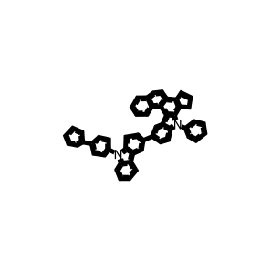 C1=Cc2c(c3c(c4cc(-c5ccc6c(c5)c5ccccc5n6-c5ccc(-c6ccccc6)cc5)ccc4n3-c3ccccc3)c3c2ccc2ccccc23)C1